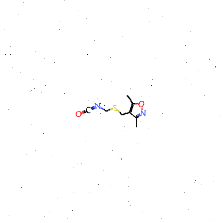 Cc1noc(C)c1CSCN=C=O